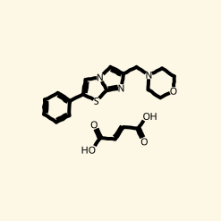 O=C(O)C=CC(=O)O.c1ccc(-c2cn3cc(CN4CCOCC4)nc3s2)cc1